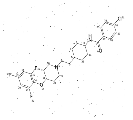 O=C(NC1CCC(CCN2CCC(Oc3c(F)cc(F)cc3F)CC2)CC1)c1ccc(Cl)cc1